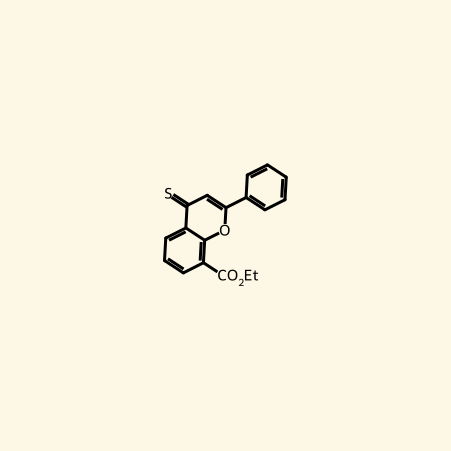 CCOC(=O)c1cccc2c(=S)cc(-c3ccccc3)oc12